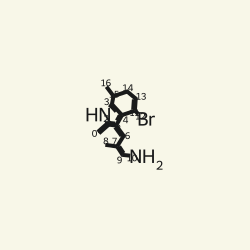 C=c1[nH]c2c(/c1=C/C(C)=C\N)C(Br)=CCC2C